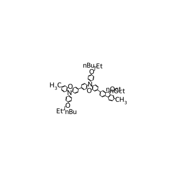 CCCCCCCCC1(CCCCCCCC)c2cc(C)ccc2-c2ccc(-c3ccc4c(c3)Oc3cc(-c5ccc6c(c5)Oc5cc(C)ccc5N6c5ccc(OCC(CC)CCCC)cc5)ccc3N4c3ccc(OCC(CC)CCCC)cc3)cc21